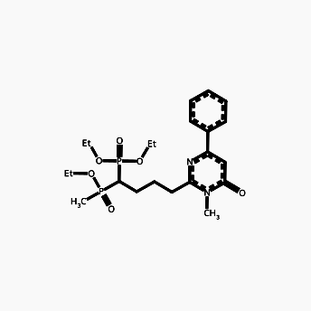 CCOP(C)(=O)C(CCCc1nc(-c2ccccc2)cc(=O)n1C)P(=O)(OCC)OCC